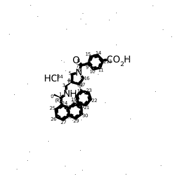 C[C@@H](NC[C@H]1CN(C(=O)c2ccc(C(=O)O)cc2)C[C@@H]1c1ccccc1)c1cccc2ccccc12.Cl